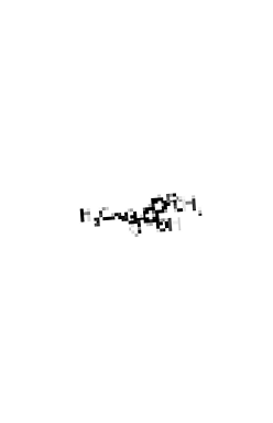 CCCCOC(=O)c1cc(O)c2cc(OC)ccc2c1